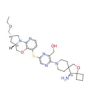 CCOC[C@H]1C[C@H]2COc3c(Sc4cnc(N5CCC6(CC5)COC5(CCC5)[C@H]6N)c(CO)n4)ccnc3N2C1